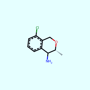 C[C@H]1OCc2c(Cl)cccc2C1N